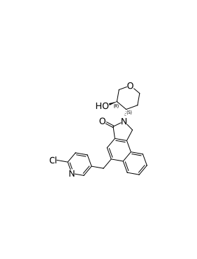 O=C1c2cc(Cc3ccc(Cl)nc3)c3ccccc3c2CN1[C@H]1CCOC[C@@H]1O